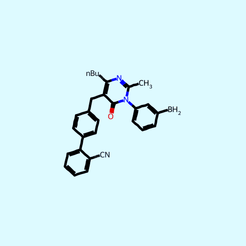 Bc1cccc(-n2c(C)nc(CCCC)c(Cc3ccc(-c4ccccc4C#N)cc3)c2=O)c1